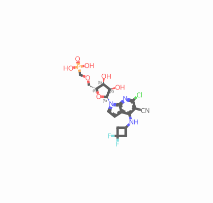 N#Cc1c(Cl)nc2c(ccn2[C@@H]2O[C@H](COCP(=O)(O)O)[C@@H](O)[C@H]2O)c1NC1CC(F)(F)C1